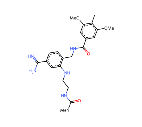 CNC(=O)NCCNc1cc(C(=N)N)ccc1CNC(=O)c1cc(OC)c(C)c(OC)c1